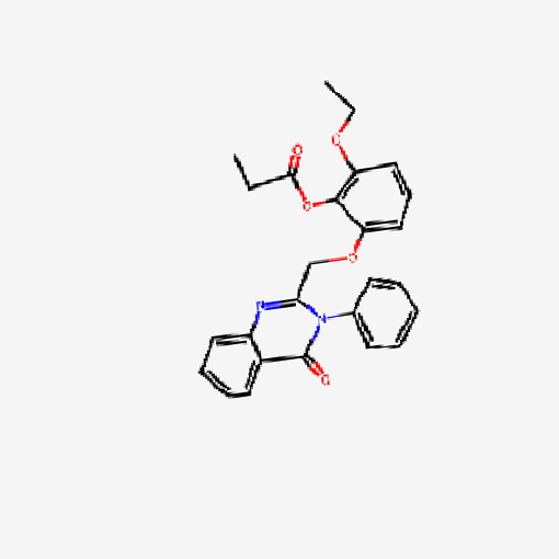 CCOc1cccc(OCc2nc3ccccc3c(=O)n2-c2ccccc2)c1OC(=O)CC